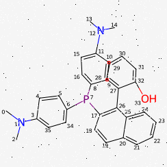 CN(C)c1ccc(P(c2ccc(N(C)C)cc2)c2ccc3ccccc3c2-c2ccccc2O)cc1